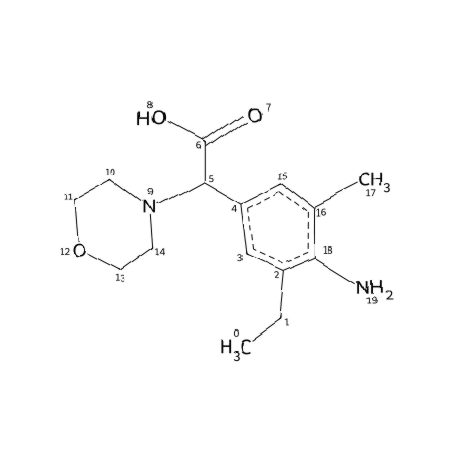 CCc1cc(C(C(=O)O)N2CCOCC2)cc(C)c1N